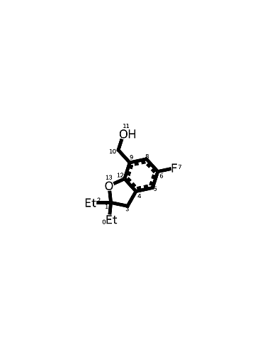 CCC1(CC)Cc2cc(F)cc(CO)c2O1